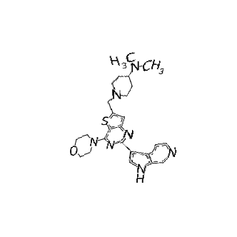 CN(C)C1CCN(Cc2cc3nc(-c4c[nH]c5cnccc45)nc(N4CCOCC4)c3s2)CC1